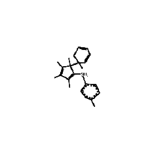 CC1=C(C)C(C)(C2(C)C=CC=CC2)C([SiH2]c2ccc(C)cc2)=C1C